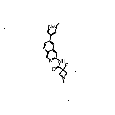 CN1CC(F)(C(=O)Nc2cc3cc(-c4cnn(C)c4)ccc3cn2)C1